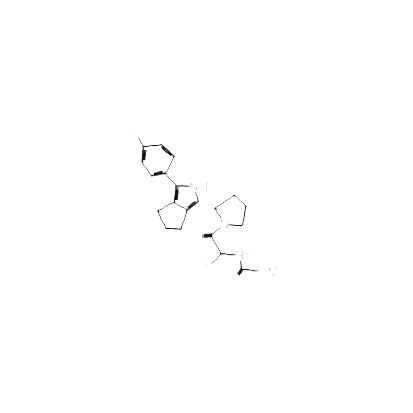 COC(=O)NC(C(=O)N1CCC[C@H]1c1[nH]c(-c2ccc(Br)cc2)c2c1CCC2)C(C)C